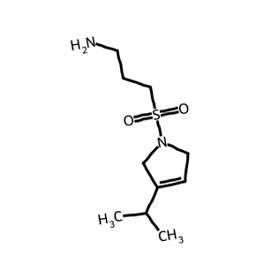 CC(C)C1=CCN(S(=O)(=O)CCCN)C1